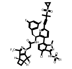 CCS(=O)(=O)Nc1nn(C)c2c(-c3ccc(C#CC(C)(C)S(=O)(=O)C4CC4)nc3[C@H](Cc3cc(F)cc(F)c3)NC(=O)Cn3nc(C(F)(F)F)c4c3C(F)(F)[C@@H]3CC[C@H]43)ccc(Cl)c12